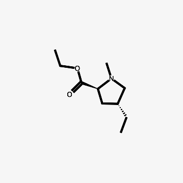 CCOC(=O)[C@@H]1C[C@@H](CC)CN1C